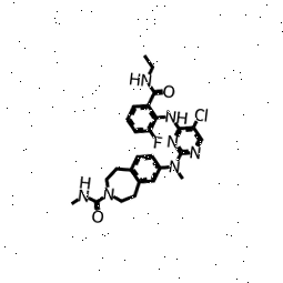 CCNC(=O)c1cccc(F)c1Nc1nc(N(C)c2ccc3c(c2)CCN(C(=O)NC)CC3)ncc1Cl